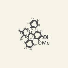 COc1cc(C2N(c3ccccc3)CC(C)=C(C)N2c2ccccc2)ccc1O